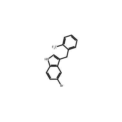 FC(F)(F)c1ccccc1Cc1c[nH]c2ccc(Br)cc12